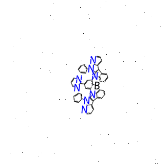 c1ccc(-n2c3ncccc3c3c4cccc5c4n(c32)-c2cc(-c3ncccn3)cc3c2B5c2cccc4c5c6cccnc6n(-c6ccccc6)c5n-3c24)cc1